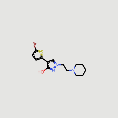 Oc1nn(CCN2CCCCC2)cc1-c1ccc(Br)s1